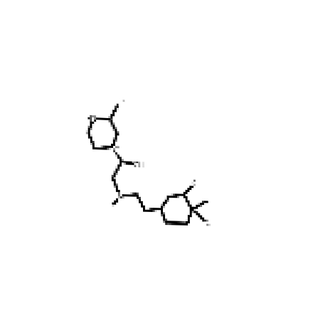 CCC1C[C@@H](C(O)CN(C)CCC2CCC(C)(Cl)C(Cl)C2)CCN1